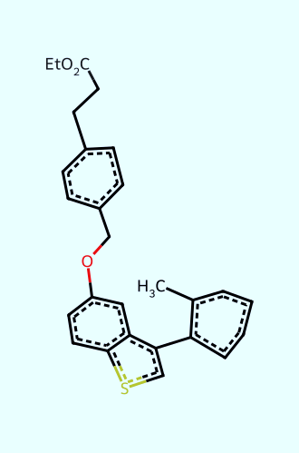 CCOC(=O)CCc1ccc(COc2ccc3scc(-c4ccccc4C)c3c2)cc1